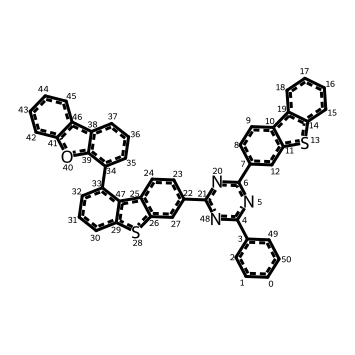 c1ccc(-c2nc(-c3ccc4c(c3)sc3ccccc34)nc(-c3ccc4c(c3)sc3cccc(-c5cccc6c5oc5ccccc56)c34)n2)cc1